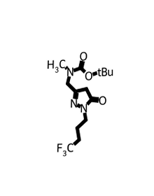 CN(CC1=NN(CCCC(F)(F)F)C(=O)C1)C(=O)OC(C)(C)C